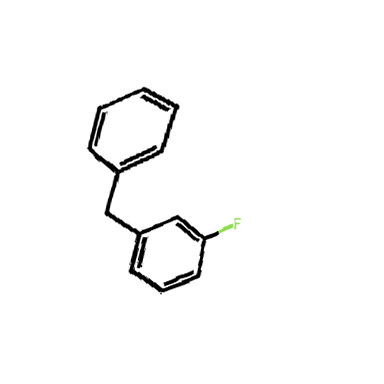 Fc1c[c]cc(Cc2ccccc2)c1